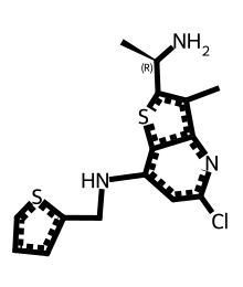 Cc1c([C@@H](C)N)sc2c(NCc3cccs3)cc(Cl)nc12